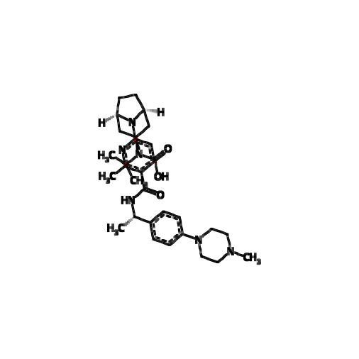 C[C@H](NC(=O)c1ccc(N2[C@@H]3CC[C@H]2C[C@@H](N(C(=O)O)C(C)(C)C)C3)nc1)c1ccc(N2CCN(C)CC2)cc1